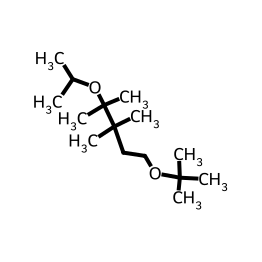 CC(C)OC(C)(C)C(C)(C)CCOC(C)(C)C